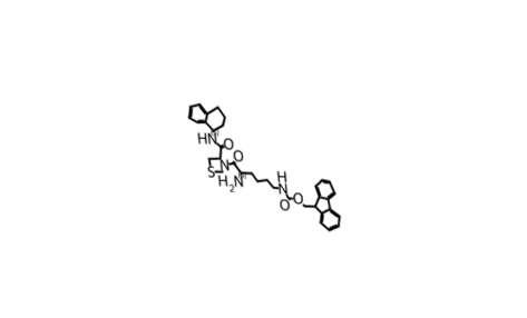 N[C@@H](CCCCNC(=O)OCC1c2ccccc2-c2ccccc21)C(=O)N1CSCC1C(=O)N[C@H]1CCCc2ccccc21